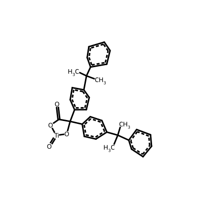 CC(C)(c1ccccc1)c1ccc(C2(c3ccc(C(C)(C)c4ccccc4)cc3)[O][Ti](=[O])[O]C2=O)cc1